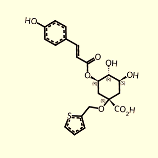 O=C(C=Cc1ccc(O)cc1)O[C@@H]1C[C@](OCc2cccs2)(C(=O)O)C[C@H](O)[C@H]1O